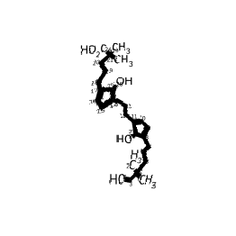 CC(C)(CO)CCCC1=CC=C(CCC2=CC=C(CCCC(C)(C)C(=O)O)C2O)C1O